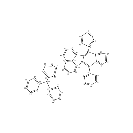 c1ccc(-c2c3c(c(-c4ccccc4)c4ccccc24)-c2ccc(-c4cccc(N(c5ccccc5)c5cnccn5)c4)c4cccc-3c24)cc1